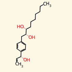 C=C[C@@H](O)c1ccc(C[C@@H](O)[C@H](O)CCCCCCC)cc1